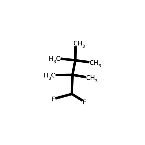 CC(C)(C)C(C)(C)C(F)F